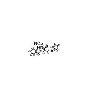 N#CCNC(=O)C(CCSc1ccccc1)CCSc1ccccc1